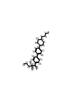 CCCCC1CCC(c2ccc(-c3ccc(C(F)C(F)(F)CCC)cc3)cc2)CC1